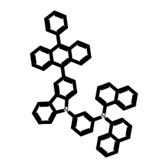 c1ccc(-c2c3ccccc3c(-c3ccc4c(c3)c3ccccc3n4-c3cccc(N(c4cccc5ccccc45)c4cccc5ccccc45)c3)c3ccccc23)cc1